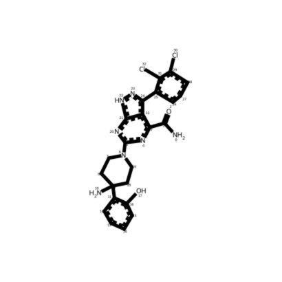 NC(=O)c1nc(N2CCC(N)(c3ccccc3O)CC2)nc2[nH]nc(-c3cccc(Cl)c3Cl)c12